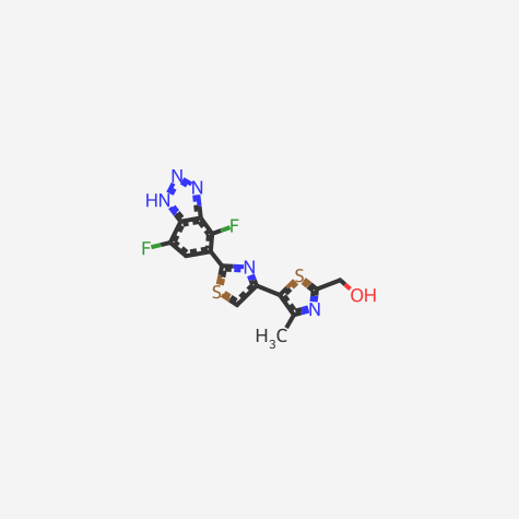 Cc1nc(CO)sc1-c1csc(-c2cc(F)c3[nH]nnc3c2F)n1